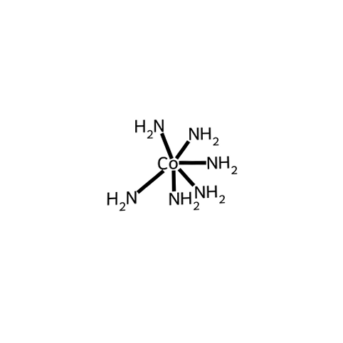 [NH2][Co]([NH2])([NH2])([NH2])([NH2])[NH2]